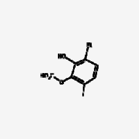 CCc1ccc(C)c(OC(=O)O)c1O